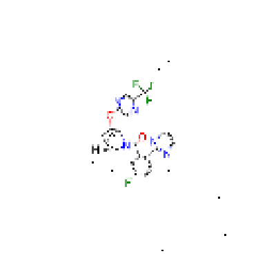 O=C(c1cc(F)ccc1-c1ncccn1)N1C[C@H]2CC(Oc3cnc(C(F)(F)F)cn3)C1C2